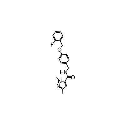 Cc1cc(C(=O)NCc2ccc(OCc3ccccc3F)cc2)n(C)n1